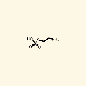 NCCSS(=O)(=O)O